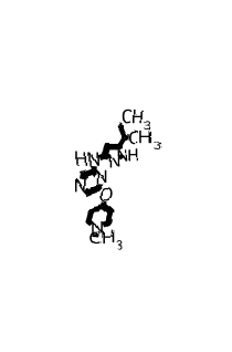 CCC(C)c1cc(Nc2cncc(OC3CCN(C)CC3)n2)n[nH]1